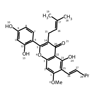 COc1cc2oc(-c3ccc(O)cc3O)c(CC=C(C)C)c(=O)c2c(O)c1/C=C/C(C)C